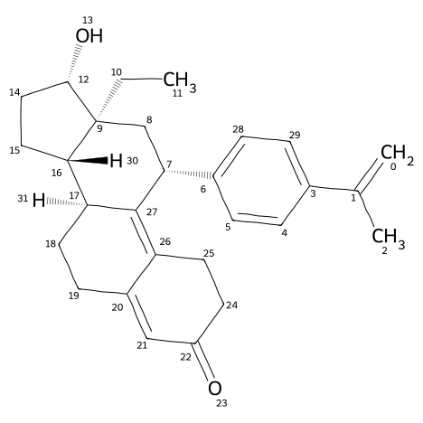 C=C(C)c1ccc([C@H]2C[C@]3(CC)[C@@H](O)CC[C@H]3[C@@H]3CCC4=CC(=O)CCC4=C32)cc1